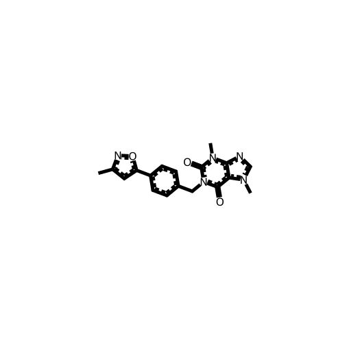 Cc1cc(-c2ccc(Cn3c(=O)c4c(ncn4C)n(C)c3=O)cc2)on1